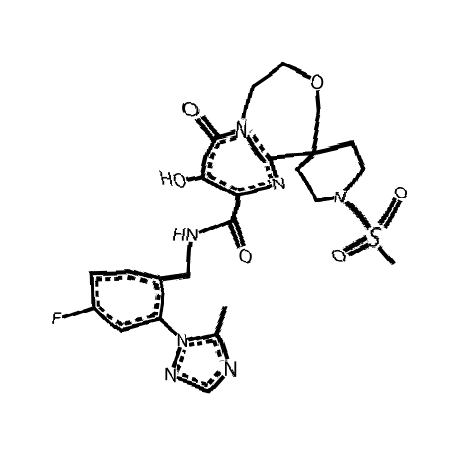 Cc1ncnn1-c1cc(F)ccc1CNC(=O)c1nc2n(c(=O)c1O)CCOCC21CCN(S(C)(=O)=O)CC1